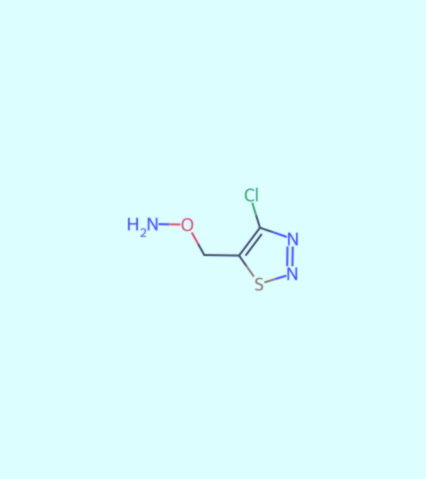 NOCc1snnc1Cl